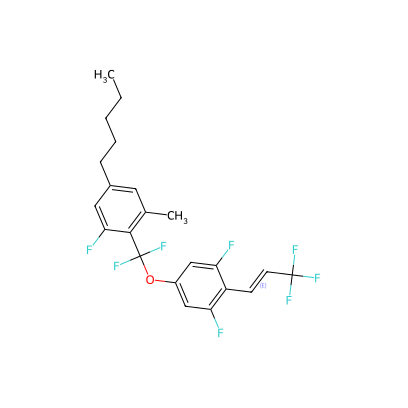 CCCCCc1cc(C)c(C(F)(F)Oc2cc(F)c(/C=C/C(F)(F)F)c(F)c2)c(F)c1